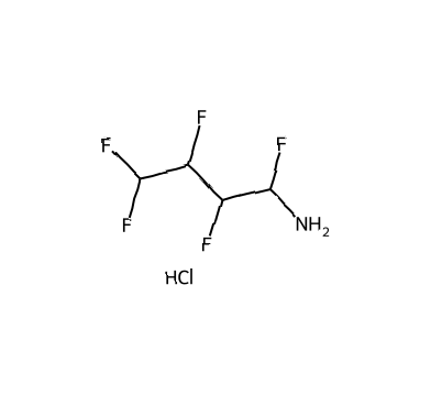 Cl.NC(F)C(F)C(F)C(F)F